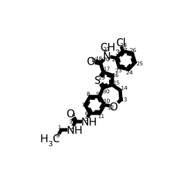 CCNC(=O)Nc1ccc2c(c1)OCCc1cc(C(=O)N(C)c3ccccc3Cl)sc1-2